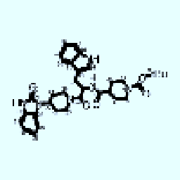 CC(C)(C)OC(=O)N1CCC(C(=O)NC(Cc2c[nH]c3ccccc23)C(=O)N2CCC(n3c(=O)[nH]c4ccccc43)CC2)CC1